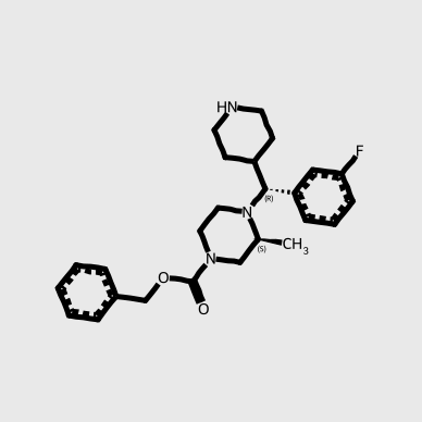 C[C@H]1CN(C(=O)OCc2ccccc2)CCN1[C@@H](c1cccc(F)c1)C1CCNCC1